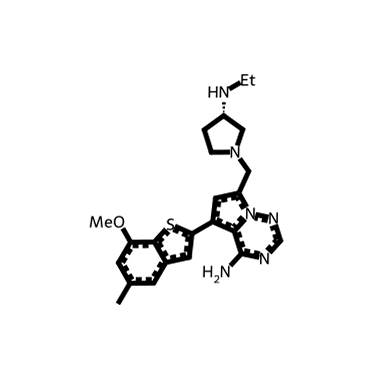 CCN[C@H]1CCN(Cc2cc(-c3cc4cc(C)cc(OC)c4s3)c3c(N)ncnn23)C1